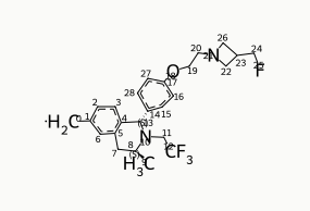 [CH2]c1ccc2c(c1)C[C@H](C)N(CC(F)(F)F)[C@H]2c1ccc(OCCN2CC(CF)C2)cc1